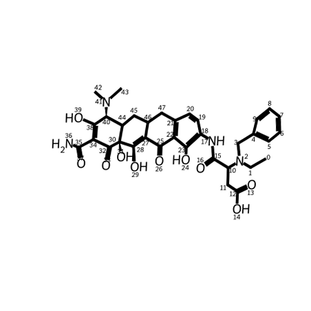 CCN(Cc1ccccc1)C(CC(=O)O)C(=O)Nc1ccc2c(c1O)C(=O)C1=C(O)[C@]3(O)C(=O)C(C(N)=O)=C(O)[C@@H](N(C)C)C3CC1C2